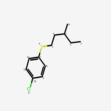 [CH2]C(CC)CCSc1ccc(Cl)cc1